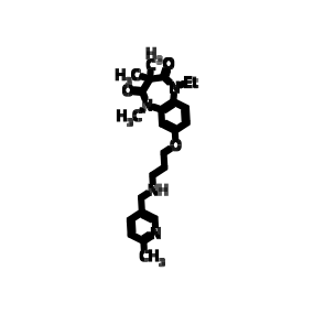 CCN1C(=O)C(C)(C)C(=O)N(C)c2cc(OCCCNCc3ccc(C)nc3)ccc21